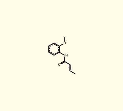 C/C=C/C(=O)Nc1c[c]ccc1OC